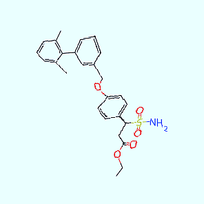 CCOC(=O)CC(c1ccc(OCc2cccc(-c3c(C)cccc3C)c2)cc1)S(N)(=O)=O